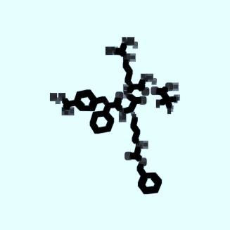 N=C(N)NCCC[C@H](NC(=O)[C@H](CCCCNC(=O)OCc1ccccc1)NC(=O)[C@H](Cc1ccc(C(=N)N)cc1)C1CCCCC1)C(N)=O.O=C(O)C(F)(F)F